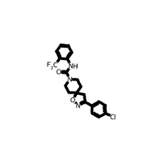 O=C(Nc1ccccc1C(F)(F)F)N1CCC2(CC1)CC(c1ccc(Cl)cc1)=NO2